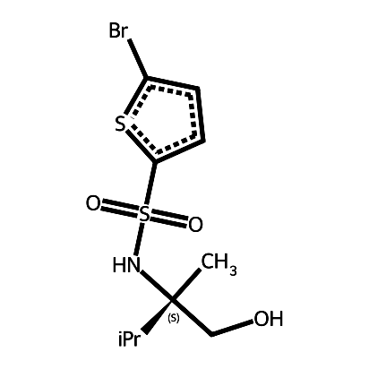 CC(C)[C@@](C)(CO)NS(=O)(=O)c1ccc(Br)s1